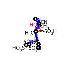 Cc1cc(N=Nc2c(C)c(C#N)c3nc4ccccc4n3c2O)c(OCCCS(=O)(=O)O)cc1N=Nc1nc(-c2ccc3ccccc3c2)c(/N=N/c2cc(S(=O)(=O)O)c3cc(S(=O)(=O)O)cc(S(=O)(=O)O)c3c2)s1